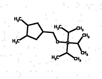 CC1CC(CO[Si](C(C)C)(C(C)C)C(C)C)CC1C